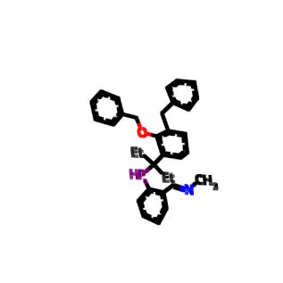 CCC(CC)(Pc1ccccc1/C=N/C)c1cccc(Cc2ccccc2)c1OCc1ccccc1